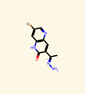 C/C(=N\N)c1cc2ncc(Br)cc2[nH]c1=O